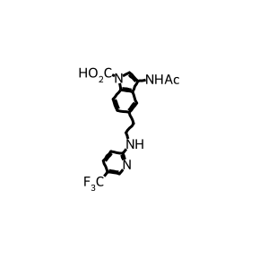 CC(=O)Nc1cn(C(=O)O)c2ccc(CCNc3ccc(C(F)(F)F)cn3)cc12